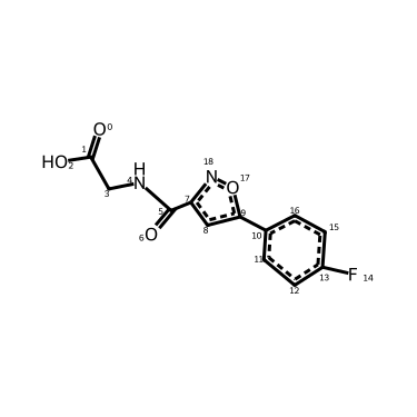 O=C(O)CNC(=O)c1cc(-c2ccc(F)cc2)on1